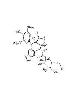 COc1cc([C@@H]2c3cc4c(cc3[C@@H](NC(=O)C[C@]3(O)O[C@H](CO)[C@H](O)[C@H](O)[C@H]3O)[C@H]3COC(=O)[C@H]23)OCO4)cc(OC)c1O